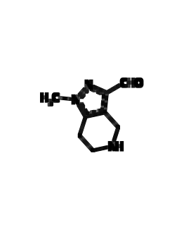 Cn1nc(C=O)c2c1CCNC2